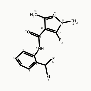 CCC(c1ccccc1NC(=O)c1c(C)nn(C)c1F)C(C)C